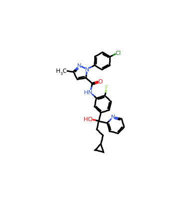 Cc1cc(C(=O)Nc2cc(C(O)(CCC3CC3)c3ccccn3)ccc2F)n(-c2ccc(Cl)cc2)n1